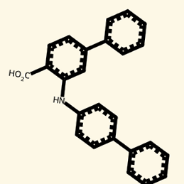 O=C(O)c1ccc(-c2ccccc2)cc1Nc1ccc(-c2ccccc2)cc1